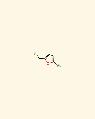 CC(=O)c1ccc(CBr)o1